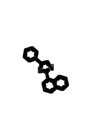 c1ccc(-c2cnc(-c3cccc4ccccc34)s2)cc1